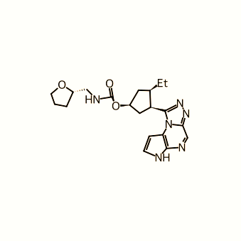 CC[C@@H]1C[C@H](OC(=O)NC[C@@H]2CCCO2)C[C@@H]1c1nnc2cnc3[nH]ccc3n12